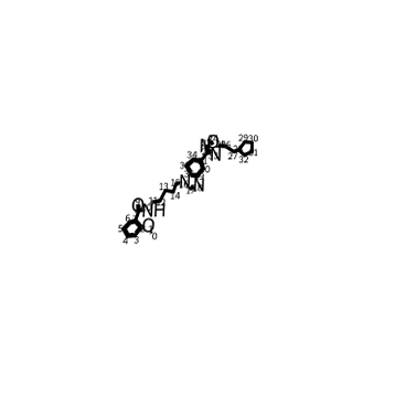 COc1ccccc1C(=O)NCCCCCn1cnc2cc(-c3noc(CCC4CCCC4)n3)ccc21